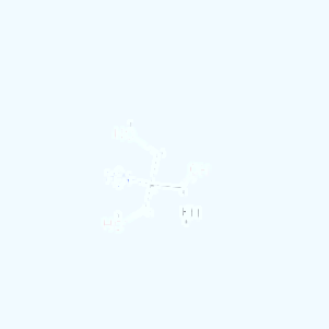 NC(CO)(CO)CO.[KH]